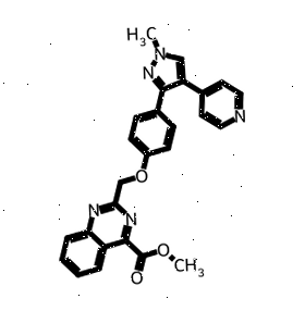 COC(=O)c1nc(COc2ccc(-c3nn(C)cc3-c3ccncc3)cc2)nc2ccccc12